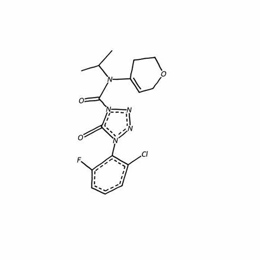 CC(C)N(C(=O)n1nnn(-c2c(F)cccc2Cl)c1=O)C1=CCOCC1